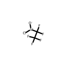 [O-][S+](Cl)C(F)(F)C(F)(F)F